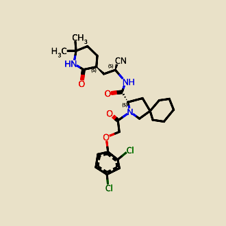 CC1(C)CC[C@@H](C[C@@H](C#N)NC(=O)[C@@H]2CC3(CCCCC3)CN2C(=O)COc2ccc(Cl)cc2Cl)C(=O)N1